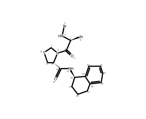 CC(C)[C@H](NBr)C(=O)N1CSC[C@H]1C(=O)N[C@@H]1CCCc2ccccc21